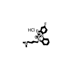 CN(C)C/C=C/CN1c2ccccc2N(c2ccc(F)cc2F)S1(=O)=O.Cl